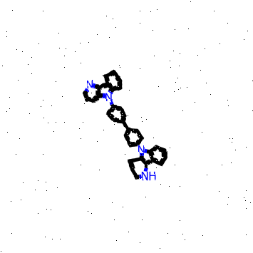 C1=Cc2c(c3ccccc3n2-c2ccc(-c3ccc(-n4c5ccccc5c5ncccc54)cc3)cc2)NC1